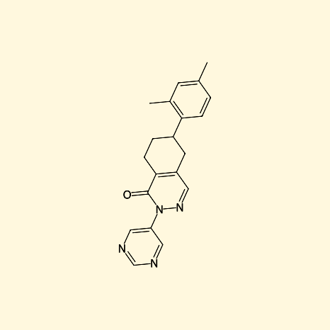 Cc1ccc(C2CCc3c(cnn(-c4cncnc4)c3=O)C2)c(C)c1